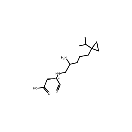 CC(C)C1(CCCC(N)CN[C@@H](C=O)CC(=O)O)CC1